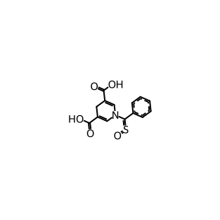 O=S=C(c1ccccc1)N1C=C(C(=O)O)CC(C(=O)O)=C1